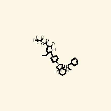 CCc1cc(C(=O)OC(=O)C(F)(F)F)c(=O)[nH]c1-c1ccc(N2C[C@H]3CCC[C@@H](N(C)Cc4ccccc4)[C@H]3C2)cc1